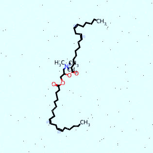 CCCCC/C=C\C/C=C\CCCCCCCC(=O)OCC(C[N+](C)(C)C)OC(=O)CCCCCCC/C=C\C/C=C\CCCCC